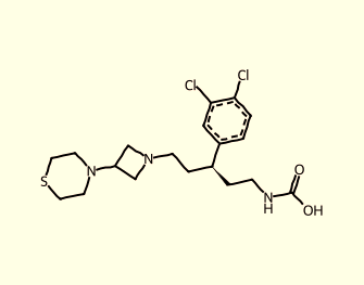 O=C(O)NCC[C@@H](CCN1CC(N2CCSCC2)C1)c1ccc(Cl)c(Cl)c1